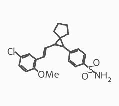 COc1ccc(Cl)cc1C=CC1C(c2ccc(S(N)(=O)=O)cc2)C12CCCC2